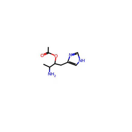 CC(=O)OC(Cc1c[nH]cn1)C(C)N